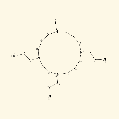 OCCN1CCCN(I)CCCN(CCO)CCN(CCO)CCC1